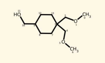 COCC1(COC)CCC(CO)CC1